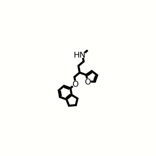 CNCCC(COc1cccc2c1CCC2)c1ccco1